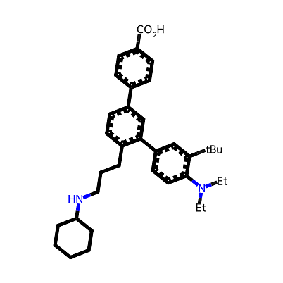 CCN(CC)c1ccc(-c2cc(-c3ccc(C(=O)O)cc3)ccc2CCCNC2CCCCC2)cc1C(C)(C)C